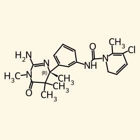 CC1=C(Cl)C=CCN1C(=O)Nc1cccc([C@@]2(C)N=C(N)N(C)C(=O)C2(C)C)c1